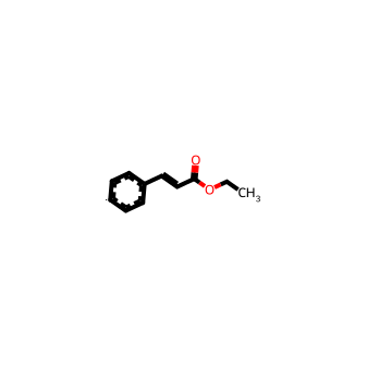 CCOC(=O)C=Cc1cc[c]cc1